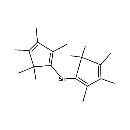 CC1=C(C)C(C)(C)[C]([Sn][C]2=C(C)C(C)=C(C)C2(C)C)=C1C